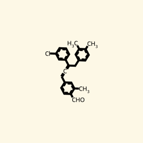 Cc1ccc(CC(=C=Cc2ccc(C=O)c(C)c2)c2cccc(Cl)c2)cc1C